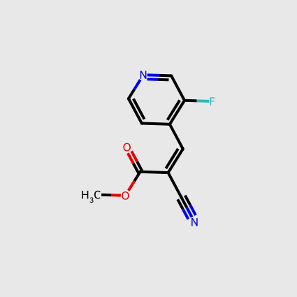 COC(=O)C(C#N)=Cc1ccncc1F